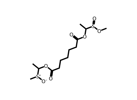 COS(=O)C(C)OC(=O)CCCCCC(=O)OC(C)[S+](C)[O-]